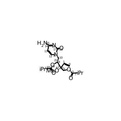 C=C[C@](COC(=O)C(C)C)(OC)[C@H](Cn1ccc(N)nc1=O)OC(=O)C(C)C